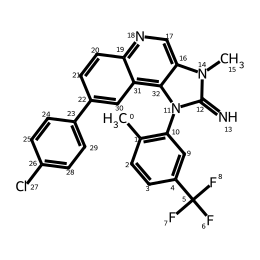 Cc1ccc(C(F)(F)F)cc1-n1c(=N)n(C)c2cnc3ccc(-c4ccc(Cl)cc4)cc3c21